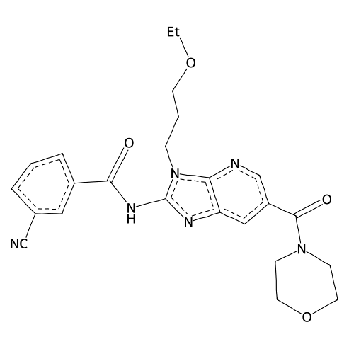 CCOCCCn1c(NC(=O)c2cccc(C#N)c2)nc2cc(C(=O)N3CCOCC3)cnc21